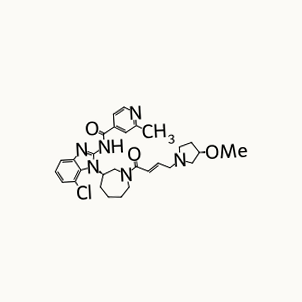 CO[C@@H]1CCN(C/C=C/C(=O)N2CCCC[C@@H](n3c(NC(=O)c4ccnc(C)c4)nc4cccc(Cl)c43)C2)C1